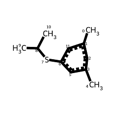 Cc1cc(C)cc(SC(C)C)c1